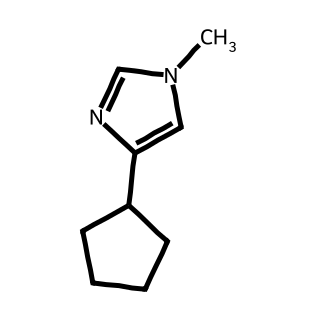 Cn1cnc(C2CCCC2)c1